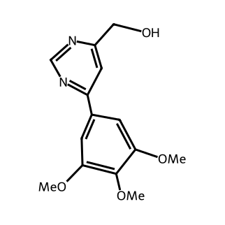 COc1cc(-c2cc(CO)ncn2)cc(OC)c1OC